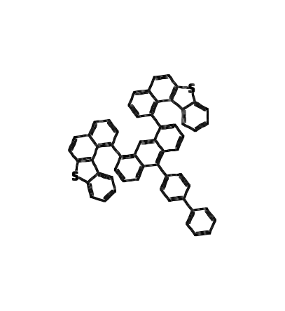 c1ccc(-c2ccc(-c3c4cccc(-c5cccc6ccc7sc8ccccc8c7c56)c4cc4c(-c5cccc6ccc7sc8ccccc8c7c56)cccc34)cc2)cc1